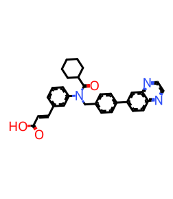 O=C(O)C=Cc1cccc(N(Cc2ccc(-c3ccc4nccnc4c3)cc2)C(=O)C2CCCCC2)c1